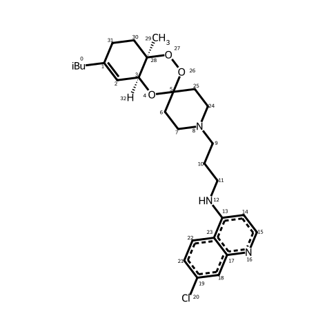 CCC(C)C1=C[C@@H]2OC3(CCN(CCCNc4ccnc5cc(Cl)ccc45)CC3)OO[C@]2(C)CC1